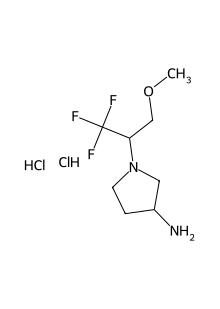 COCC(N1CCC(N)C1)C(F)(F)F.Cl.Cl